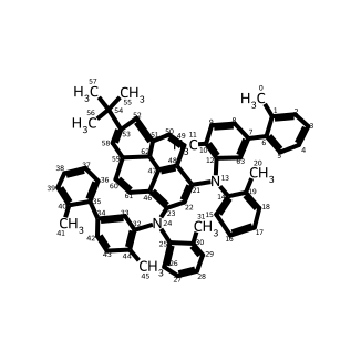 Cc1ccccc1-c1ccc(C)c(N(c2ccccc2C)c2cc(N(c3ccccc3C)c3cc(-c4ccccc4C)ccc3C)c3c4c2C=CC2=CC(C(C)(C)C)=CC(C=C3)C24)c1